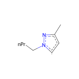 CCCCn1[c]cc(C)n1